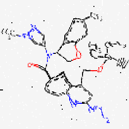 Cn1cc(N(C(=O)c2ccc3nc(N)cc(CO[Si](C)(C)C(C)(C)C)c3c2)C2COc3cc(C(F)(F)F)ccc32)cn1